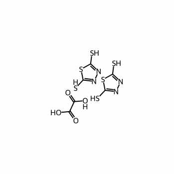 O=C(O)C(=O)O.Sc1nnc(S)s1.Sc1nnc(S)s1